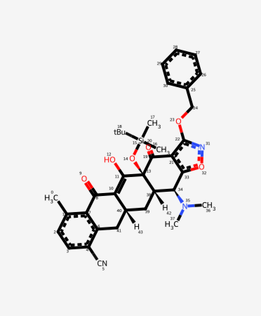 Cc1ccc(C#N)c2c1C(=O)C1=C(O)[C@]3(O[Si](C)(C)C(C)(C)C)C(=O)c4c(OCc5ccccc5)noc4[C@@H](N(C)C)[C@@H]3C[C@@H]1C2